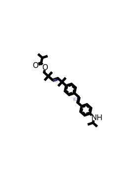 CC(C)Nc1ccc(/C=C/c2ccc(C(C)(C)/C=C/C(C)(C)COC(=O)C(C)C)cc2)cc1